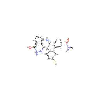 CN(C)C(=O)c1ccc(C2Nc3cccc4c(=O)[nH]nc(c34)C2c2ccc(F)cc2)cc1